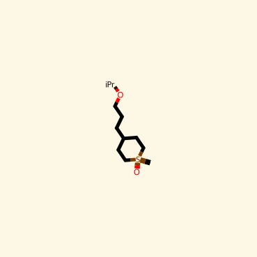 C=S1(=O)CCC(CCCOC(C)C)CC1